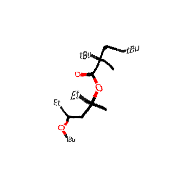 CCC(C)OC(CC)CC(C)(CC)OC(=O)C(C)(CC(C)(C)C)C(C)(C)C